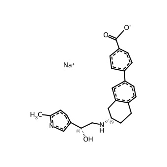 Cc1ccc([C@@H](O)CN[C@H]2CCc3ccc(-c4ccc(C(=O)[O-])cc4)cc3C2)cn1.[Na+]